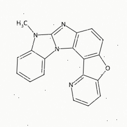 Cn1c2ccccc2n2c3c(ccc4oc5cccnc5c43)nc12